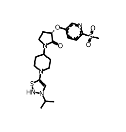 CC(C)N1C=C(N2CCC(N3CC[C@H](Oc4ccc(S(C)(=O)=O)nc4)C3=O)CC2)SN1